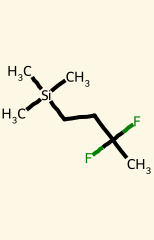 CC(F)(F)CC[Si](C)(C)C